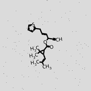 C#CC(C=CCc1cccs1)OC(=O)C1C(C=C(C)C)C1(C)C